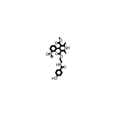 COC(=O)C1=C(C)NC(C)=C(C(=O)OCCNC(=O)c2ccc(O)cc2)C1c1cccc([N+](=O)[O-])c1